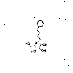 OC[C@H]1O[C@H](SCCCc2ccccc2)[C@@H](O)[C@@H](O)[C@@H]1O